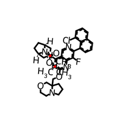 CC(C)(C)OC(=O)N1[C@@H]2CC[C@H]1CN(c1nc(OCC34CCCN3CCOC4)nc3c(F)c(-c4cccc5cccc(Cl)c45)ncc13)C2